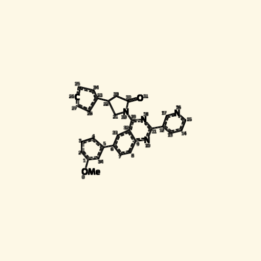 COc1cccc(-c2ccc3nc(-c4cccnc4)nc(N4CC(c5ccccc5)CC4=O)c3c2)c1